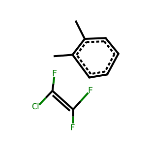 Cc1ccccc1C.FC(F)=C(F)Cl